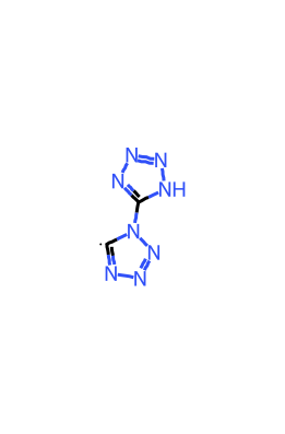 [c]1nnnn1-c1nnn[nH]1